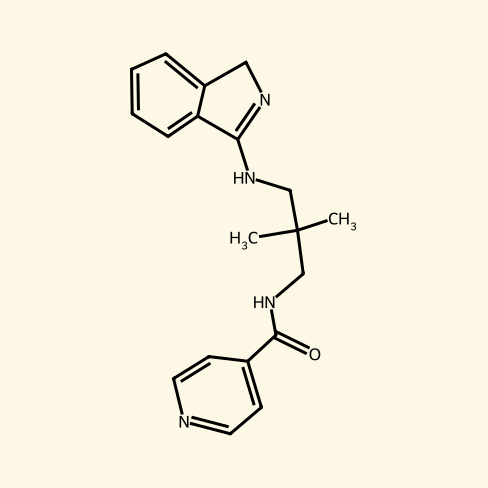 CC(C)(CNC(=O)c1ccncc1)CNC1=NCc2ccccc21